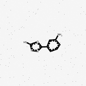 Nc1cccc(-c2nnc(S)o2)c1